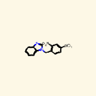 O=[N+]([O-])c1ccc(Cn2cnc3ccccc32)c([N+](=O)[O-])c1